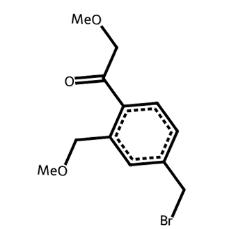 COCC(=O)c1ccc(CBr)cc1COC